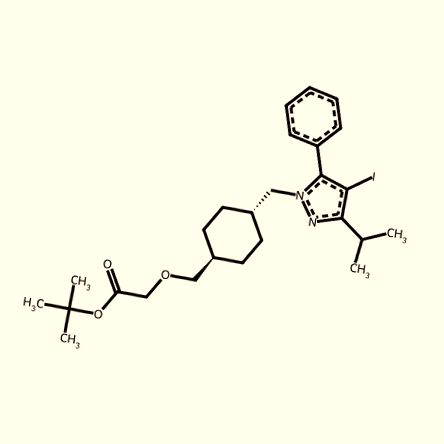 CC(C)c1nn(C[C@H]2CC[C@H](COCC(=O)OC(C)(C)C)CC2)c(-c2ccccc2)c1I